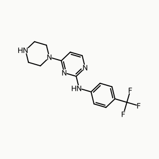 FC(F)(F)c1ccc(Nc2nccc(N3CCNCC3)n2)cc1